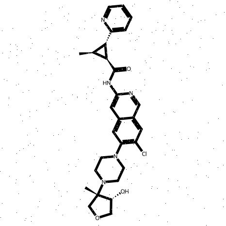 C[C@@H]1[C@H](C(=O)Nc2cc3cc(N4CCN([C@@]5(C)COC[C@H]5O)CC4)c(Cl)cc3cn2)[C@H]1c1ccccn1